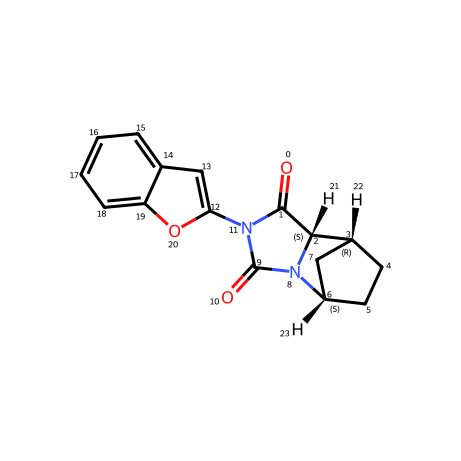 O=C1[C@@H]2[C@@H]3CC[C@@H](C3)N2C(=O)N1c1cc2ccccc2o1